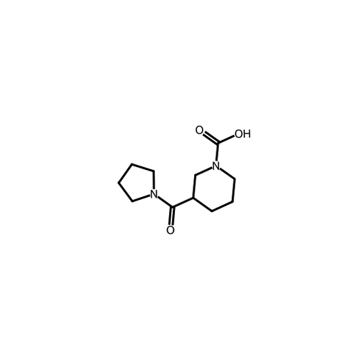 O=C(O)N1CCCC(C(=O)N2CCCC2)C1